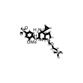 COc1cc(S(C)(=O)=O)ccc1NC1=CC(N)(C2CC2)C2=CCN(COCC[Si](C)(C)C)C2=N1